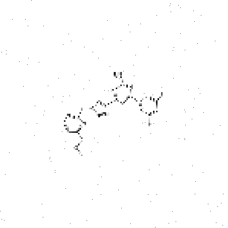 COCc1cccc(Cn2cc(-c3cc(-c4cc(F)cc(F)c4)nc(N)n3)nn2)n1